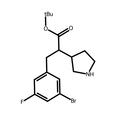 CC(C)(C)OC(=O)C(Cc1cc(F)cc(Br)c1)C1CCNC1